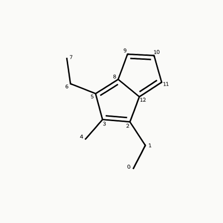 CCC1=C(C)C(CC)=C2C=CC=C21